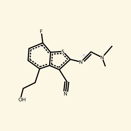 CN(C)/C=N/c1sc2c(F)ccc(CCO)c2c1C#N